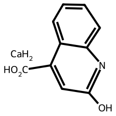 O=C(O)c1cc(O)nc2ccccc12.[CaH2]